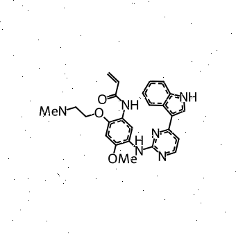 C=CC(=O)Nc1cc(Nc2nccc(-c3c[nH]c4ccccc34)n2)c(OC)cc1OCCNC